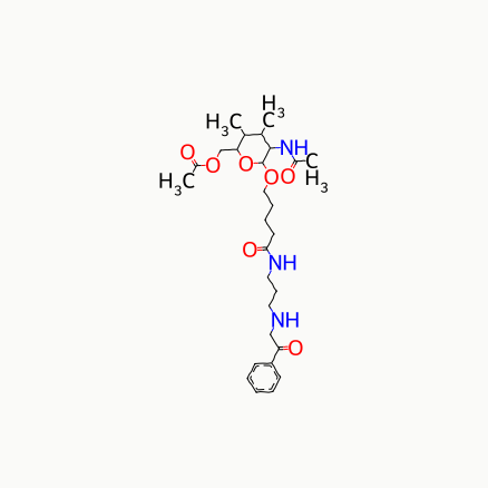 CC(=O)NC1C(OCCCCC(=O)NCCCNCC(=O)c2ccccc2)OC(COC(C)=O)C(C)C1C